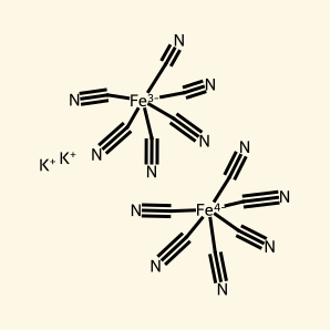 N#[C][Fe-3]([C]#N)([C]#N)([C]#N)([C]#N)[C]#N.N#[C][Fe-4]([C]#N)([C]#N)([C]#N)([C]#N)[C]#N.[K+].[K+]